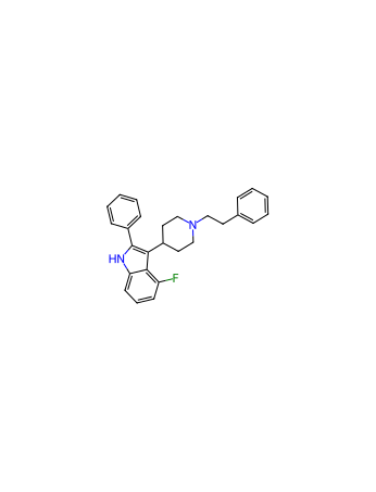 Fc1cccc2[nH]c(-c3ccccc3)c(C3CCN(CCc4ccccc4)CC3)c12